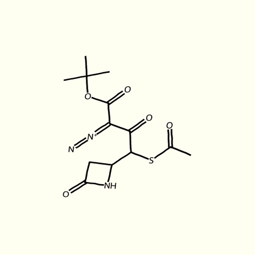 CC(=O)SC(C(=O)C(=[N+]=[N-])C(=O)OC(C)(C)C)C1CC(=O)N1